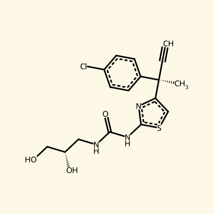 C#C[C@](C)(c1ccc(Cl)cc1)c1csc(NC(=O)NC[C@H](O)CO)n1